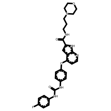 O=C(Nc1ccc(F)cc1)Nc1ccc(Oc2ccnc3[nH]c(C(=O)NCCCN4CCOCC4)cc23)cc1